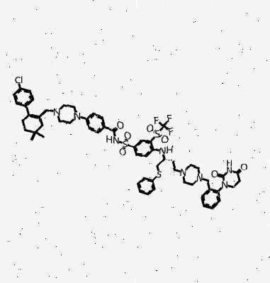 CC1(C)CCC(c2ccc(Cl)cc2)=C(CN2CCN(c3ccc(C(=O)NS(=O)(=O)c4ccc(N[C@H](CCN5CCN(Cc6ccccc6N6CCC(=O)NC6=O)CC5)CSc5ccccc5)c(S(=O)(=O)C(F)(F)F)c4)cc3)CC2)C1